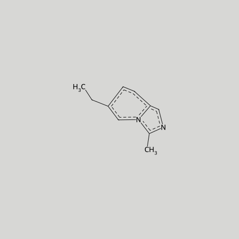 CCc1ccc2cnc(C)n2c1